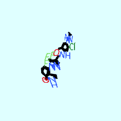 Cc1cc(-n2nccn2)c(Cl)cc1NC(=O)c1cnn(-c2cccc3c(=O)[nH]ccc23)c1C(F)(F)F